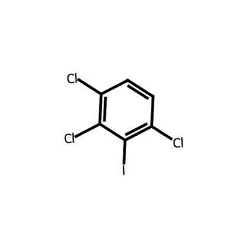 Clc1ccc(Cl)c(I)c1Cl